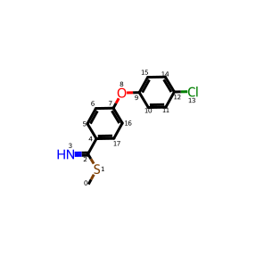 CSC(=N)c1ccc(Oc2ccc(Cl)cc2)cc1